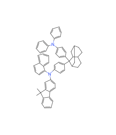 CC1(C)c2ccccc2-c2ccc(N(c3ccc(C4(c5ccc(N(c6ccccc6)c6ccccc6)cc5)C5CCC6CCC(C5)CC64)cc3)c3cccc4ccccc34)cc21